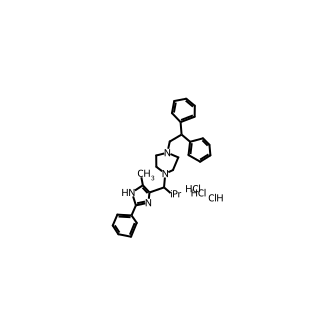 Cc1[nH]c(-c2ccccc2)nc1C(C(C)C)N1CCN(CC(c2ccccc2)c2ccccc2)CC1.Cl.Cl.Cl